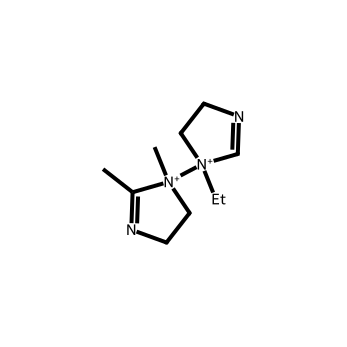 CC[N+]1([N+]2(C)CCN=C2C)C=NCC1